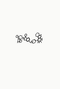 Cc1nc(C2=CCN(Cc3ccc4c(c3)CN(C3CCC(=O)NC3=O)C4=O)CC2)c2c3c(sc2n1)CCCC3